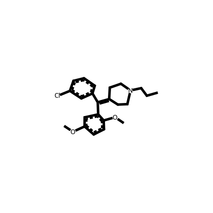 CCCN1CCC(=C(c2cccc(Cl)c2)c2cc(OC)ccc2OC)CC1